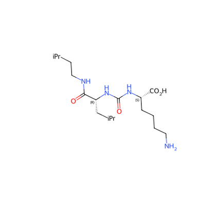 CC(C)CCNC(=O)[C@@H](CC(C)C)NC(=O)N[C@@H](CCCCN)C(=O)O